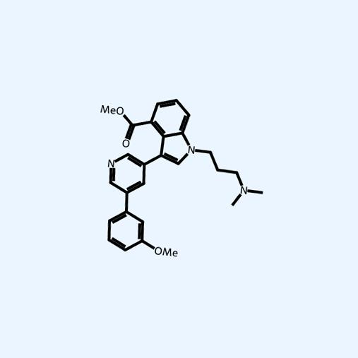 COC(=O)c1cccc2c1c(-c1cncc(-c3cccc(OC)c3)c1)cn2CCCN(C)C